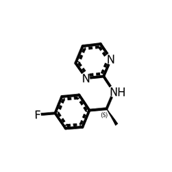 C[C@H](Nc1ncccn1)c1ccc(F)cc1